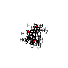 CCC1O[C@@H](OC2[C@H](O[C@H]3CCC4(C)C5CC=C6C7CC(C)(C)CC[C@]7(C(=O)O)C(OC)C[C@@]6(C)C5(C)CC[C@H]4[C@@]3(C)C=O)OC(C(=O)O)[C@@H](C)[C@@H]2O[C@@H]2OC[C@@H](C)[C@H](C)C2C)C(C)[C@@H](C)[C@H]1C